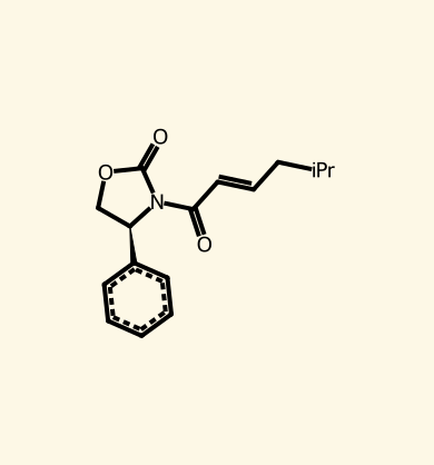 CC(C)C/C=C/C(=O)N1C(=O)OC[C@@H]1c1ccccc1